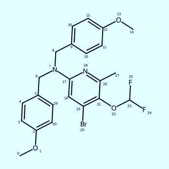 COc1ccc(CN(Cc2ccc(OC)cc2)c2cc(Br)c(OC(F)F)c(C)n2)cc1